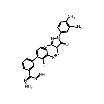 CC1=NN(c2ccc(C)c(C)c2)C(=O)C1/N=N\c1cccc(-c2cccc(/C(N=N)=N/N)c2)c1O